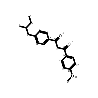 CCC(C)Cc1ccc(C(=O)CC(=O)c2ccc(OC)cc2)cc1